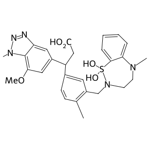 COc1cc(C(CC(=O)O)c2ccc(C)c(CN3CCN(C)c4ccccc4S3(O)O)c2)cc2nnn(C)c12